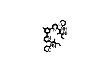 CCC(=N)/C(C)=C(\NC1CCCCO1)c1cccc(-c2cc(C)cc(-c3cccc(-c4c(C)c(CC)nn4C4CCCCO4)n3)c2)n1